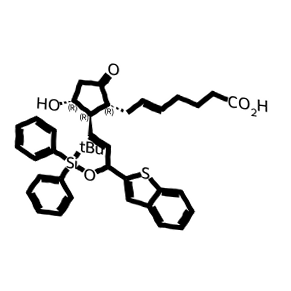 CC(C)(C)[Si](OC(C=C[C@H]1[C@H](O)CC(=O)[C@@H]1CC=CCCCC(=O)O)c1cc2ccccc2s1)(c1ccccc1)c1ccccc1